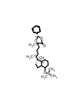 C[C@H](CCC[C@@]1(C)O[C@H](c2ccccc2)OC1=O)[C@H]1CCC2C(O[Si](C)(C)C)CCC[C@@]21C